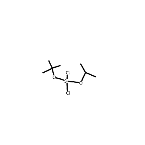 CC(C)O[Si](Cl)(Cl)OC(C)(C)C